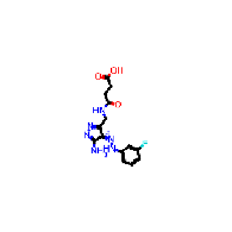 NC1=NN=C(CNC(=O)CCC(=O)O)/C1=N/Nc1cccc(F)c1